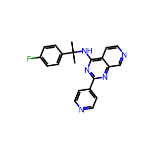 CC(C)(Nc1nc(-c2ccncc2)nc2cnccc12)c1ccc(F)cc1